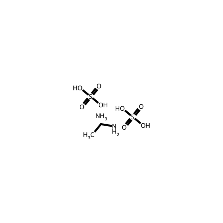 CCN.N.O=S(=O)(O)O.O=S(=O)(O)O